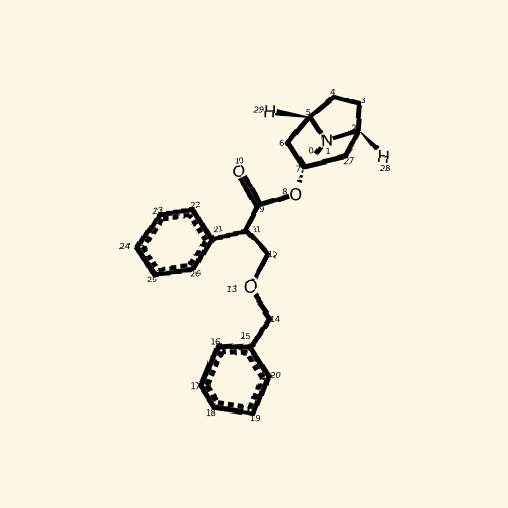 CN1[C@@H]2CC[C@H]1C[C@@H](OC(=O)C(COCc1ccccc1)c1ccccc1)C2